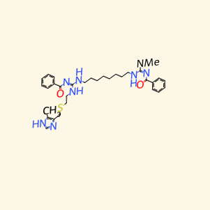 CNC(=NC(=O)c1ccccc1)NCCCCCCCCNC(=NC(=O)c1ccccc1)NCCSCc1nc[nH]c1C